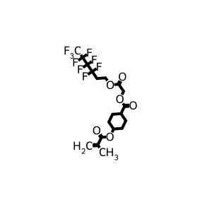 C=C(C)C(=O)OC1CCC(C(=O)OCC(=O)OCCC(F)(F)C(F)(F)C(F)(F)C(F)(F)F)CC1